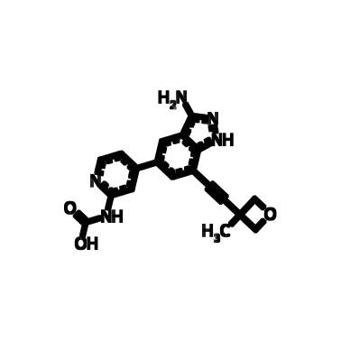 CC1(C#Cc2cc(-c3ccnc(NC(=O)O)c3)cc3c(N)n[nH]c23)COC1